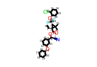 C=C[C@@]1(C(=O)OC(C#N)c2cccc(Oc3ccccc3)c2)[C@H](C(F)(F)Oc2ccccc2Cl)C1(C)C